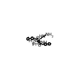 CC(C)C[C@@H]1CN(C(=O)[C@H](N)Cc2ccc(-c3ccccc3)cc2)[C@@H](CCCCNCCN)CN1C(=O)[C@H](N)Cc1ccc(-c2ccccc2)cc1